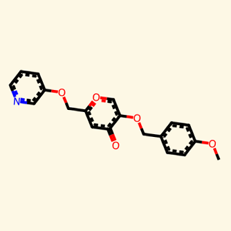 COc1ccc(COc2coc(COc3cccnc3)cc2=O)cc1